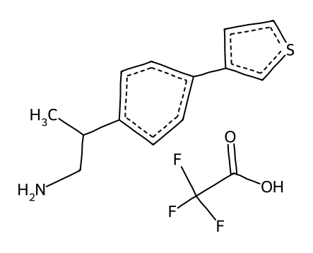 CC(CN)c1ccc(-c2ccsc2)cc1.O=C(O)C(F)(F)F